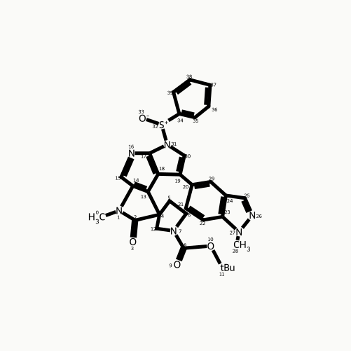 CN1C(=O)C2(CCN(C(=O)OC(C)(C)C)C2)c2c1cnc1c2c(-c2ccc3c(cnn3C)c2)cn1[S+]([O-])c1ccccc1